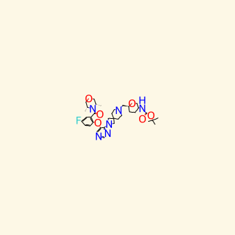 C[C@@H]1COC[C@H](C)N1C(=O)c1cc(F)ccc1Oc1cncnc1N1CC2(CCN(C[C@@H]3CC[C@@H](NC(=O)OC(C)(C)C)CO3)CC2)C1